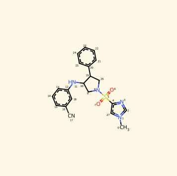 Cn1cnc(S(=O)(=O)N2CC(Nc3cccc(C#N)c3)C(c3ccccc3)C2)c1